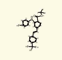 CC(C)(C)OC(=O)c1ccc(C=Cc2ccc(C(F)(F)F)cc2)cc1Nc1ccc(F)cc1